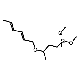 C/C=C/C=C/COC(C)CC[SiH](OC)OC